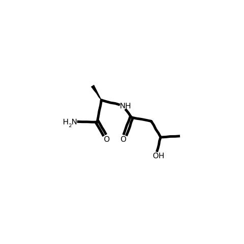 CC(O)CC(=O)N[C@H](C)C(N)=O